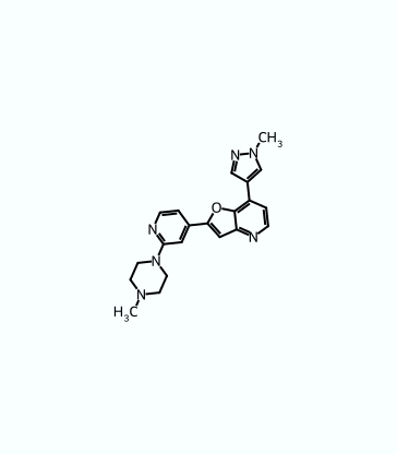 CN1CCN(c2cc(-c3cc4nccc(-c5cnn(C)c5)c4o3)ccn2)CC1